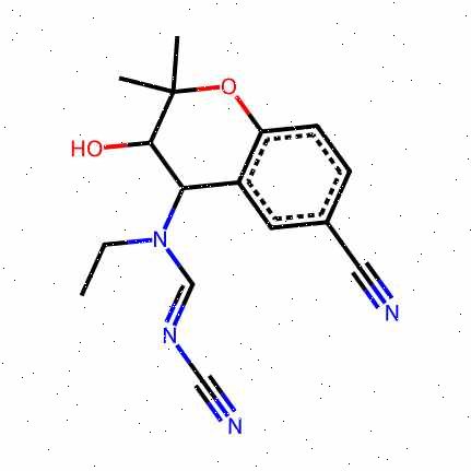 CCN(C=NC#N)C1c2cc(C#N)ccc2OC(C)(C)C1O